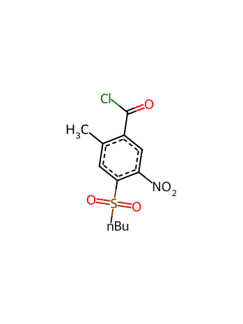 CCCCS(=O)(=O)c1cc(C)c(C(=O)Cl)cc1[N+](=O)[O-]